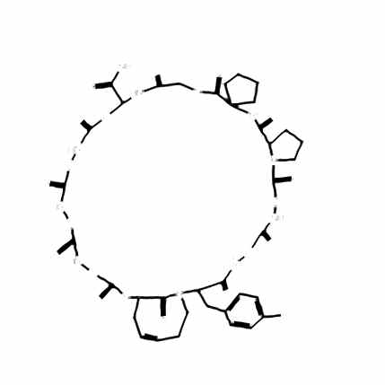 Cc1ccc(CC2C(=O)NCC(=O)NCC(=O)N3CCCC3C(=O)NC3(CCCC3)C(=O)NCC(=O)NC(C(N)=O)CC(=O)NCC(=O)NCC(=O)NCC(=O)NC3CC=CCCN2C3=O)cc1